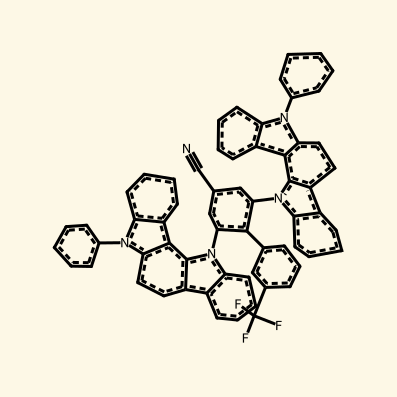 N#Cc1cc(-n2c3ccccc3c3ccc4c(c5ccccc5n4-c4ccccc4)c32)c(-c2cccc(C(F)(F)F)c2)c(-n2c3ccccc3c3ccc4c(c5ccccc5n4-c4ccccc4)c32)c1